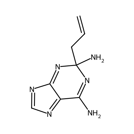 C=CCC1(N)N=C(N)C2=NC=NC2=N1